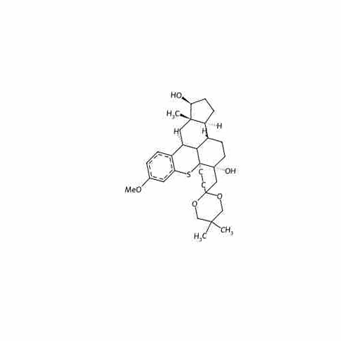 COc1ccc2c(c1)S[C@]13CCC4(C[C@]1(O)CC[C@@H]1C3[C@@H]2C[C@]2(C)[C@@H](O)CC[C@@H]12)OCC(C)(C)CO4